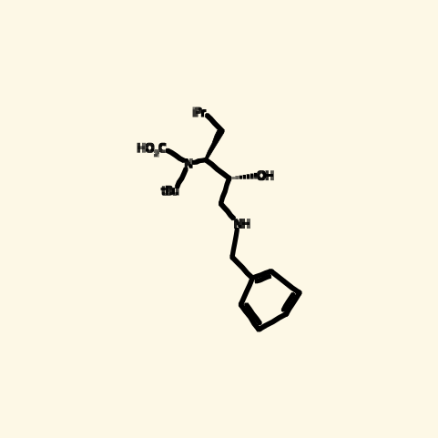 CC(C)C[C@@H]([C@H](O)CNCc1ccccc1)N(C(=O)O)C(C)(C)C